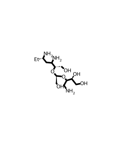 CC[C@H](N)CC(N)[C@H](CO)O[C@H](CO)OC(CN)[C@@H](O)CO